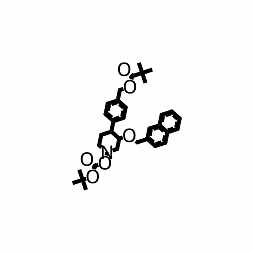 CC(C)(C)OC(=O)ON1CCC(c2ccc(COC(=O)C(C)(C)C)cc2)C(OCc2ccc3ccccc3c2)C1